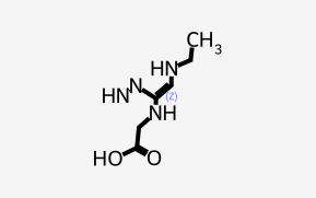 CCN/C=C(\N=N)NCC(=O)O